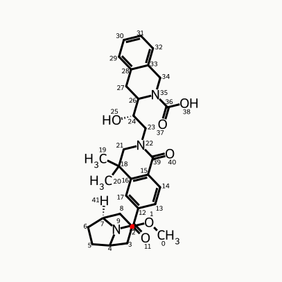 COC1CC2CC[C@@H](C1)N2C(=O)c1ccc2c(c1)C(C)(C)CN(C[C@H](O)C1Cc3ccccc3CN1C(=O)O)C2=O